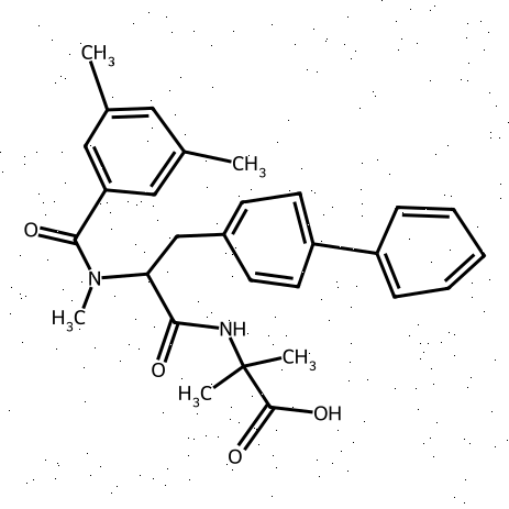 Cc1cc(C)cc(C(=O)N(C)C(Cc2ccc(-c3ccccc3)cc2)C(=O)NC(C)(C)C(=O)O)c1